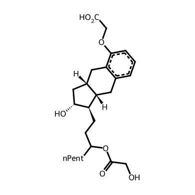 CCCCCC(CC[C@@H]1[C@H]2Cc3cccc(OCC(=O)O)c3C[C@H]2C[C@H]1O)OC(=O)CO